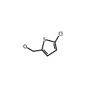 [O]Cc1ccc(Cl)s1